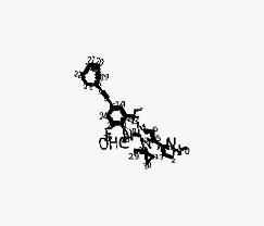 Cn1ccc(-c2cnc(N(C=O)c3c(F)cc(C#Cc4ccccc4)cc3F)n2C2(C)CC2)n1